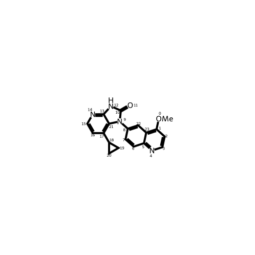 COc1ccnc2ccc(-n3c(=O)[nH]c4nccc(C5CC5)c43)cc12